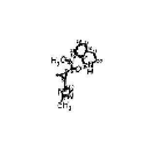 Cc1noc(C2CC2C(=O)N(C)c2cccc3c2CNCC3)n1